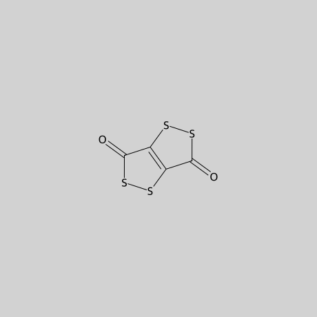 O=c1ssc2c(=O)ssc12